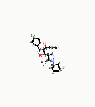 CNC(=O)c1c(-c2ccc(Cl)cc2)noc1-c1cnn(-c2cccc(F)c2)c1C(F)(F)F